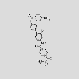 CCN(Cc1ccc(-n2ccc(NC(=O)N3CCN(C(=O)C4(N)CC4)CC3)nc2=O)cc1)[C@H]1CC[C@H](N)CC1